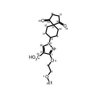 CCOCCOc1nn(C2CCC3(CC2)C(=O)CCC3=O)cc1C(=O)O